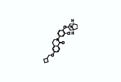 CN1[C@@H]2CC[C@H]1C[C@@H](Oc1ccc(N3CCc4cc(OCC5CCC5)ccc4C3=O)cc1Cl)C2